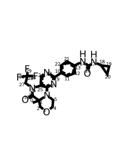 CC12COCCN1c1nc(-c3ccc(NC(=O)NC4CC4)cc3)ncc1N(CC(F)(F)F)C2=O